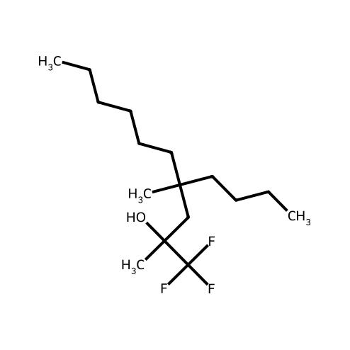 CCCCCCC(C)(CCCC)CC(C)(O)C(F)(F)F